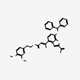 COc1ccc(CCNC(=O)/C=C(\C)c2ccc(OC(c3ccccc3)c3ccccc3)c3oc(C(C)=O)cc23)cc1OC